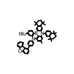 Cc1cc2c3c(c1)N(c1ccc4c(c1)C(C)(C)CCC4(C)C)c1cc4c(cc1B3c1ccc(C(C)(C)C)cc1N2c1ccc(-c2cccc3oc5ccccc5c23)cc1)C(C)(C)CCC4(C)C